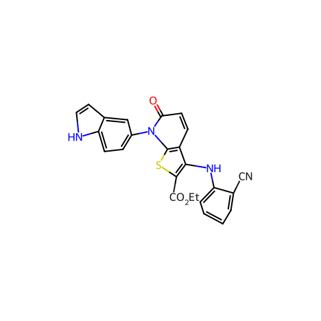 CCOC(=O)c1sc2c(ccc(=O)n2-c2ccc3[nH]ccc3c2)c1Nc1ccccc1C#N